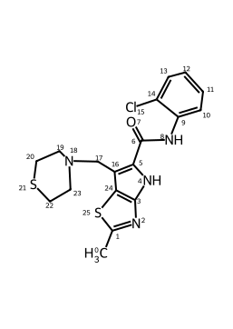 Cc1nc2[nH]c(C(=O)Nc3ccccc3Cl)c(CN3CCSCC3)c2s1